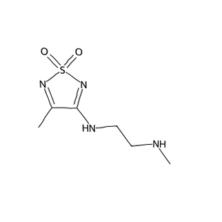 CNCCNC1=NS(=O)(=O)N=C1C